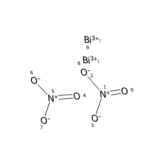 O=[N+]([O-])[O-].O=[N+]([O-])[O-].[Bi+3].[Bi+3]